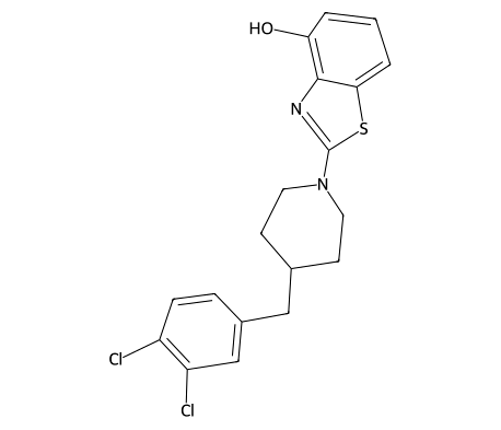 Oc1cccc2sc(N3CCC(Cc4ccc(Cl)c(Cl)c4)CC3)nc12